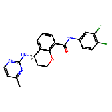 Cc1ccnc(N[C@H]2CCOc3c(C(=O)Nc4ccc(F)c(F)c4)cccc32)n1